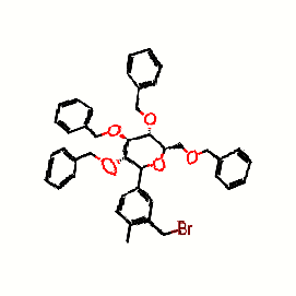 Cc1ccc(C2O[C@H](COCc3ccccc3)[C@@H](OCc3ccccc3)[C@H](OCc3ccccc3)[C@H]2OCc2ccccc2)cc1CBr